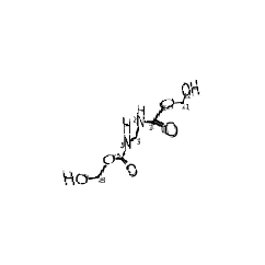 O=C(NCNC(=O)OCO)OCO